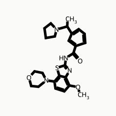 COc1ccc(N2CCOCC2)c2sc(NC(=O)c3cccc(C(C)N4CCCC4)c3)nc12